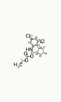 CCOC(=O)OC1Nc2cc(Cl)cc(Cl)c2C2CCCC12